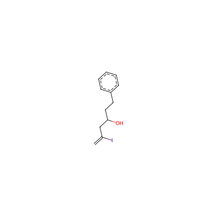 C=C(I)CC(O)CCc1ccccc1